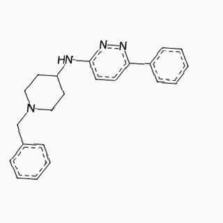 c1ccc(CN2CCC(Nc3ccc(-c4ccccc4)nn3)CC2)cc1